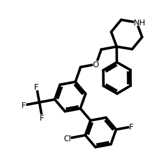 Fc1ccc(Cl)c(-c2cc(COCC3(c4ccccc4)CCNCC3)cc(C(F)(F)F)c2)c1